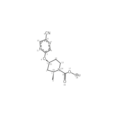 C[C@H]1C[C@@H](Oc2cnc(C#N)cn2)CCN1C(=O)OC(C)(C)C